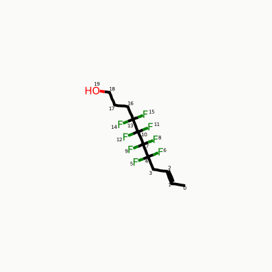 C/C=C/CC(F)(F)C(F)(F)C(F)(F)C(F)(F)CCCO